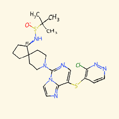 CC(C)(C)[S+]([O-])N[C@@H]1CCCC12CCN(c1ncc(Sc3ccnnc3Cl)c3nccn13)CC2